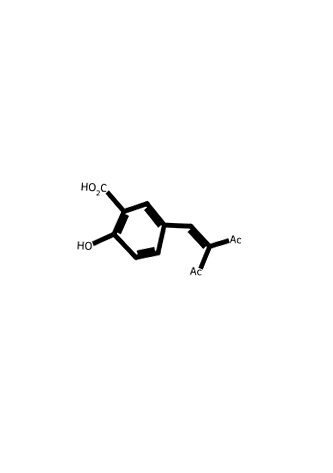 CC(=O)C(=Cc1ccc(O)c(C(=O)O)c1)C(C)=O